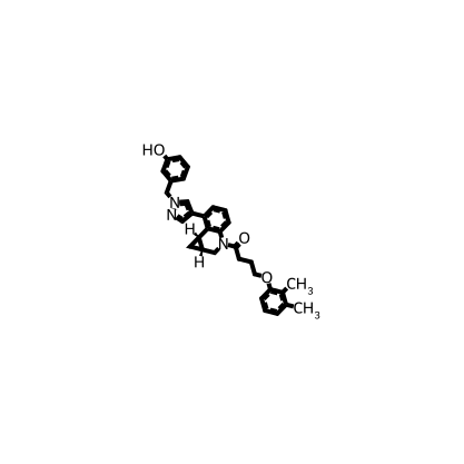 Cc1cccc(OCCCC(=O)N2C[C@@H]3C[C@@H]3c3c(-c4cnn(Cc5cccc(O)c5)c4)cccc32)c1C